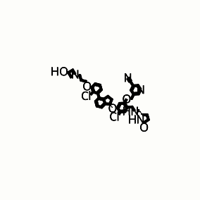 N#Cc1cncc(COc2cc(O[C@H]3CCc4c(-c5cccc(OCCCN6CC(O)C6)c5Cl)cccc43)c(Cl)cc2CNC[C@@H]2CCC(=O)N2)c1